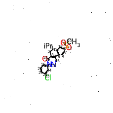 CC(C)CCc1c(-c2ccc(S(C)(=O)=O)cc2)cnn(-c2cccc(Cl)c2)c1=O